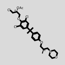 CC(=O)O[C@@H](CCl)COc1c(Cl)cc(C(C)(C)c2ccc(OC[C@H](C)CN3CCOCC3)cc2)cc1Cl